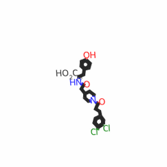 O=C(CC1CCN(C(=O)CCc2ccc(Cl)c(Cl)c2)CC1)N[C@@H](Cc1ccc(O)cc1)C(=O)O